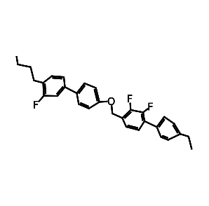 CCCCc1ccc(-c2ccc(OCc3ccc(-c4ccc(CC)cc4)c(F)c3F)cc2)cc1F